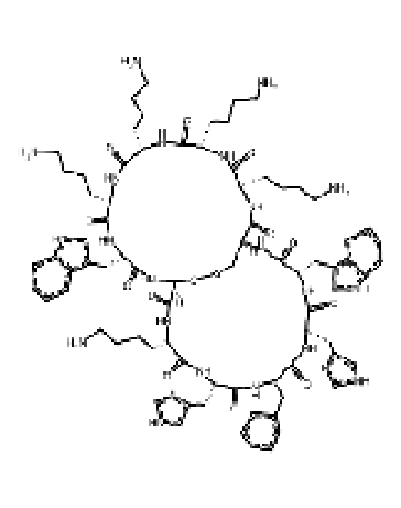 NCCCC[C@@H]1NC(=O)[C@H](CCCCN)NC(=O)[C@@H]2CSS[C@H](NC(=O)[C@H](Cc3c[nH]c4ccccc34)NC(=O)[C@H](CCCCN)NC(=O)[C@H](CCCCN)NC1=O)C(=O)N[C@@H](CCCCN)C(=O)N[C@@H](Cc1c[nH]cn1)C(=O)N[C@H](Cc1ccccc1)C(=O)N[C@@H](Cc1c[nH]cn1)C(=O)N[C@@H](Cc1c[nH]c3ccccc13)C(=O)N2